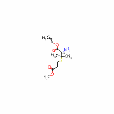 C=CCOC(=O)[C@H](N)C(C)(C)SCCC(=O)OC